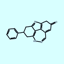 O=C1C=C2C=NNC3=C4C(=NC(=C24)C1)CC(c1ccccc1)C3